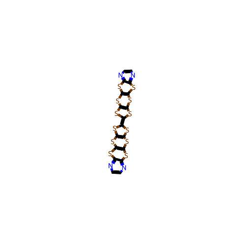 c1cnc2sc3sc4c(sc=3sc2n1)SC(=C1Sc2sc3sc5nccnc5sc=3sc2S1)S4